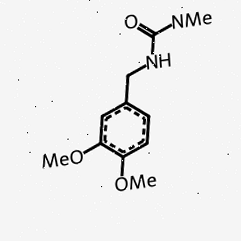 CNC(=O)NCc1ccc(OC)c(OC)c1